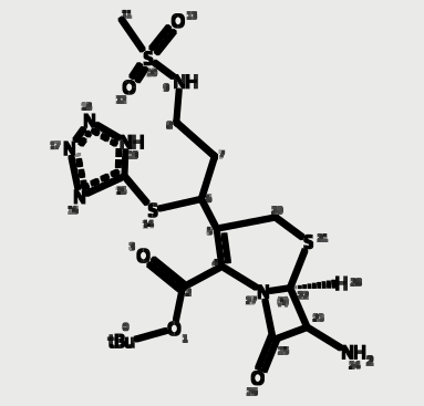 CC(C)(C)OC(=O)C1=C(C(CCNS(C)(=O)=O)Sc2nnn[nH]2)CS[C@H]2C(N)C(=O)N12